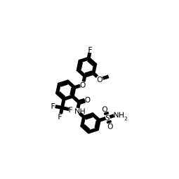 COc1cc(F)ccc1Oc1cccc(C(F)(F)F)c1C(=O)Nc1cccc(S(N)(=O)=O)c1